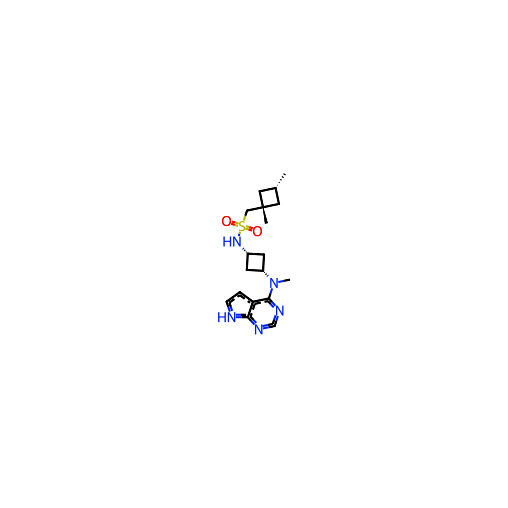 CN(c1ncnc2[nH]ccc12)[C@H]1C[C@@H](NS(=O)(=O)C[C@]2(C)C[C@H](C)C2)C1